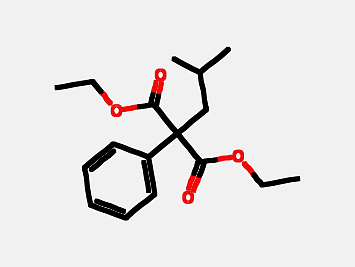 CCOC(=O)C(CC(C)C)(C(=O)OCC)c1ccccc1